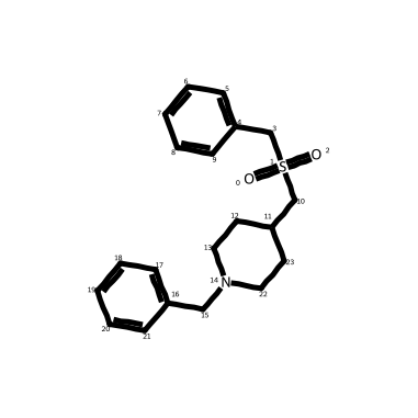 O=S(=O)(Cc1ccccc1)CC1CCN(Cc2ccccc2)CC1